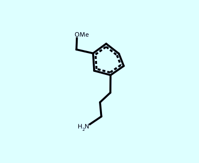 COCc1cccc(CCCN)c1